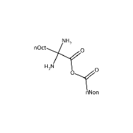 CCCCCCCCCC(=O)OC(=O)C(N)(N)CCCCCCCC